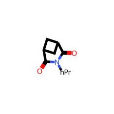 CCCN1C(=O)C2CC(C2)C1=O